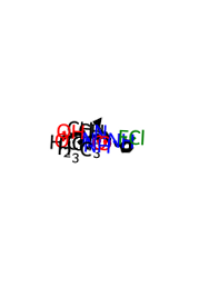 C=C(C(C)[C@@H](C)[C@H](C)C(=O)O)N(CC(=O)N(CC(=O)NCc1cccc(Cl)c1F)C1CC1)NC